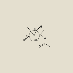 CC(=O)OC1(C)C=C[C@H]2C3[C@@H]1C32C